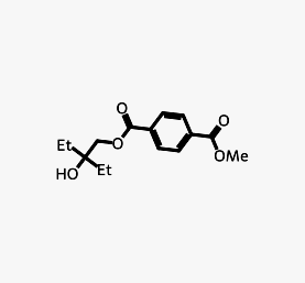 CCC(O)(CC)COC(=O)c1ccc(C(=O)OC)cc1